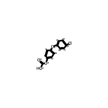 O=C(O)Oc1ccc(Oc2ccc(Cl)cc2)cc1